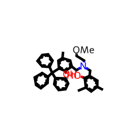 COCCN(Cc1cc(C)cc(C)c1O)Cc1cc(C)cc(C(c2ccccc2)(c2ccccc2)c2ccccc2)c1O